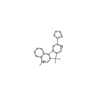 C[n+]1cc2c(c3ccccc31)-c1cc(-c3cccs3)ncc1C2(C)C